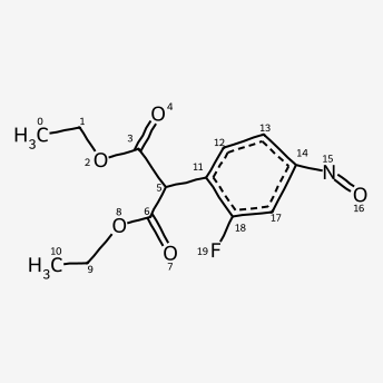 CCOC(=O)C(C(=O)OCC)c1ccc(N=O)cc1F